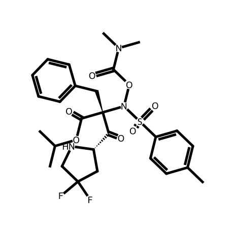 Cc1ccc(S(=O)(=O)N(OC(=O)N(C)C)[C@@](Cc2ccccc2)(C(=O)OC(C)C)C(=O)[C@@H]2CC(F)(F)CN2)cc1